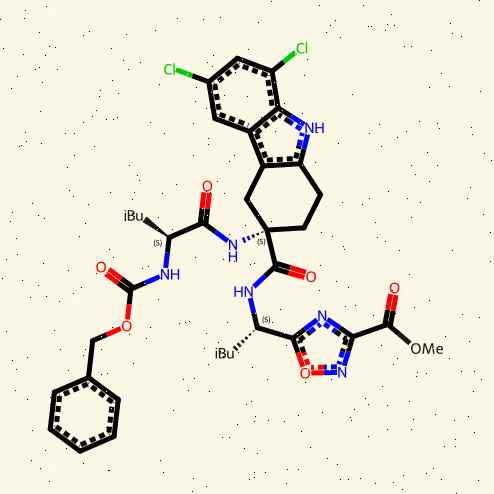 CCC(C)[C@H](NC(=O)OCc1ccccc1)C(=O)N[C@@]1(C(=O)N[C@H](c2nc(C(=O)OC)no2)C(C)CC)CCc2[nH]c3c(Cl)cc(Cl)cc3c2C1